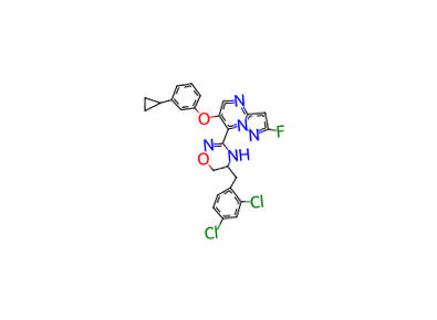 Fc1cc2ncc(Oc3cccc(C4CC4)c3)c(C3=NOCC(Cc4ccc(Cl)cc4Cl)N3)n2n1